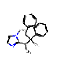 CCCCCCCCn1ccnc1C(C)C(C)(Cc1ccccc1)c1ccccc1